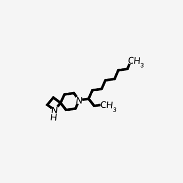 CCCCCCCC(CC)N1CCC2(CCN2)CC1